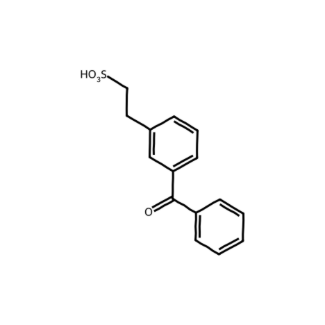 O=C(c1ccccc1)c1cccc(CCS(=O)(=O)O)c1